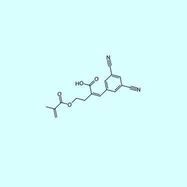 C=C(C)C(=O)OCCC(=Cc1cc(C#N)cc(C#N)c1)C(=O)O